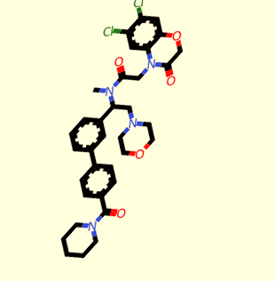 CN(C(=O)CN1C(=O)COc2cc(Cl)c(Cl)cc21)C(CN1CCOCC1)c1cccc(-c2ccc(C(=O)N3CCCCC3)cc2)c1